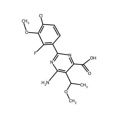 COc1c(Cl)ccc(-c2nc(N)c(C(C)OC)c(C(=O)O)n2)c1F